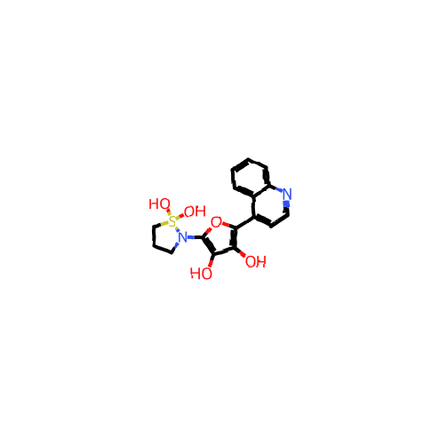 Oc1c(-c2ccnc3ccccc23)oc(N2CCCS2(O)O)c1O